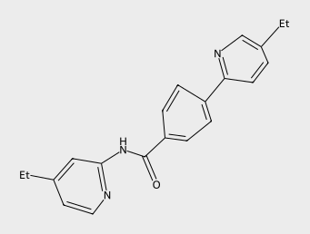 CCc1ccc(-c2ccc(C(=O)Nc3cc(CC)ccn3)cc2)nc1